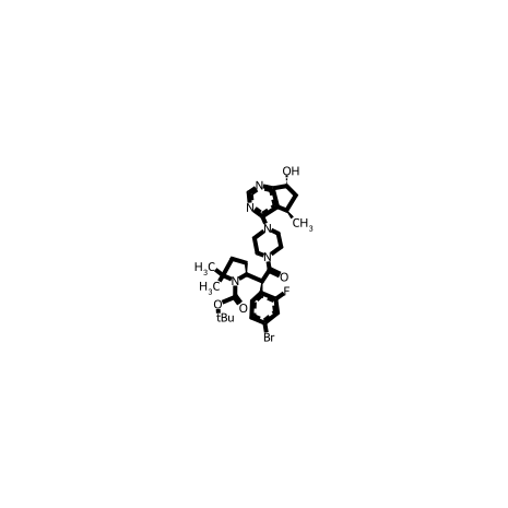 C[C@@H]1C[C@@H](O)c2ncnc(N3CCN(C(=O)[C@@H](c4ccc(Br)cc4F)[C@@H]4CCC(C)(C)N4C(=O)OC(C)(C)C)CC3)c21